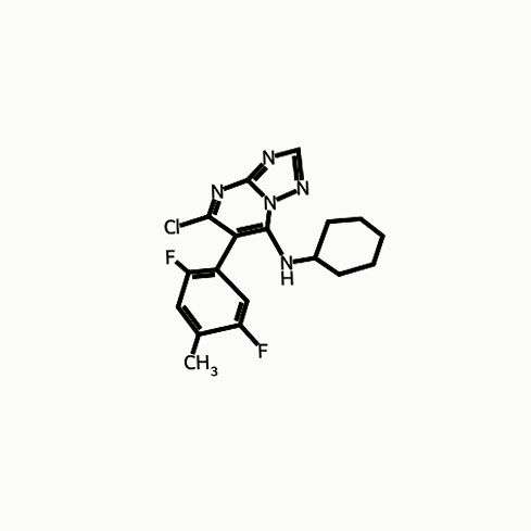 Cc1cc(F)c(-c2c(Cl)nc3ncnn3c2NC2CCCCC2)cc1F